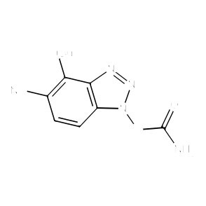 CC(C)(C)c1c(C#N)ccc2c1nnn2OC(N)=O